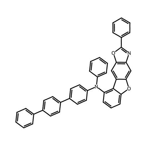 c1ccc(-c2ccc(-c3ccc(N(c4ccccc4)c4cccc5oc6cc7nc(-c8ccccc8)oc7cc6c45)cc3)cc2)cc1